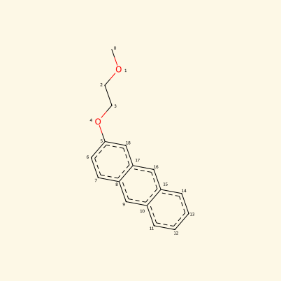 COCCOc1ccc2cc3ccccc3cc2c1